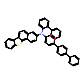 c1ccc(-c2ccc(-c3ccc(N(c4ccc5c(ccc6c7ccccc7sc56)c4)c4ccccc4-c4ccccc4)cc3)cc2)cc1